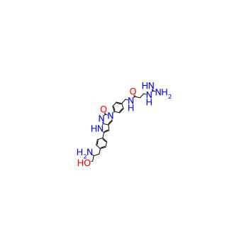 N=C(N)NCCC(=O)NCc1ccc(-n2cc3cc(-c4ccc(C[C@H](N)CO)cc4)[nH]c3nc2=O)cc1